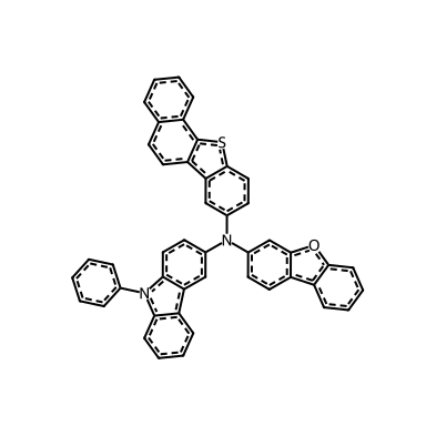 c1ccc(-n2c3ccccc3c3cc(N(c4ccc5c(c4)oc4ccccc45)c4ccc5sc6c7ccccc7ccc6c5c4)ccc32)cc1